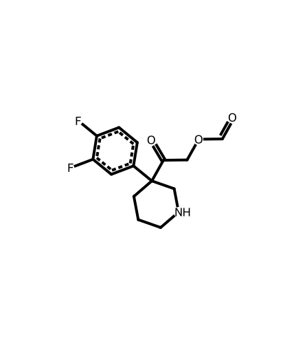 O=COCC(=O)C1(c2ccc(F)c(F)c2)CCCNC1